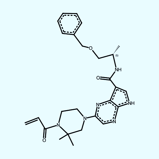 C=CC(=O)N1CCN(c2cnc3[nH]cc(C(=O)N[C@@H](C)COCc4ccccc4)c3n2)CC1(C)C